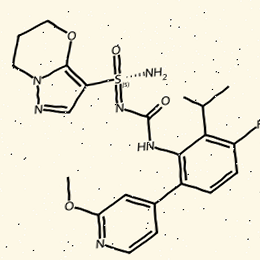 COc1cc(-c2ccc(F)c(C(C)C)c2NC(=O)N=[S@](N)(=O)c2cnn3c2OCCC3)ccn1